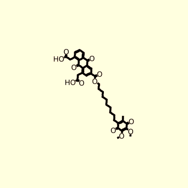 COC1=C(OC)C(=O)C(CCCCCCCCCCOC(=O)c2cc(CC(=O)O)c3c(c2)C(=O)c2cccc(CC(=O)O)c2C3=O)=C(C)C1=O